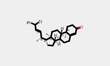 CCC(/C=C/[C@@H](C)[C@H]1CC[C@H]2[C@@H]3CCC4=CC(=O)CC[C@]4(C)[C@H]3CC[C@]12C)C(C)C